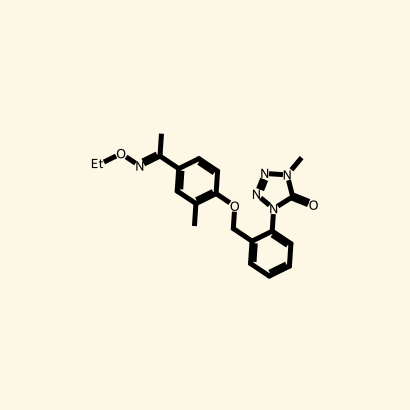 CCON=C(C)c1ccc(OCc2ccccc2-n2nnn(C)c2=O)c(C)c1